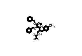 Cc1ccc(CC(CNC(=O)C(F)F)c2ncnc(OCc3ccccc3)c2OCc2ccccc2)cc1